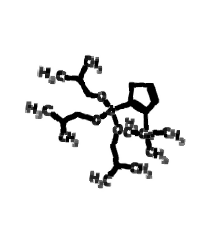 CC(C)C[O][Zr]([O]CC(C)C)([O]CC(C)C)[C]1=[C]([Ge]([CH3])([CH3])[CH3])C=CC1